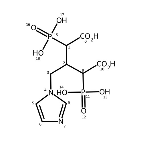 O=C(O)C(C(Cn1ccnc1)C(C(=O)O)P(=O)(O)O)P(=O)(O)O